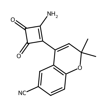 CC1(C)C=C(c2c(N)c(=O)c2=O)c2cc(C#N)ccc2O1